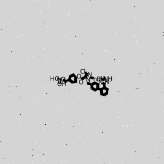 CCCCc1nc(Cl)c(C(=O)Oc2ccc(CON(O)O)cc2)n1Cc1ccc(-c2ccccc2-c2nn[nH]n2)cc1